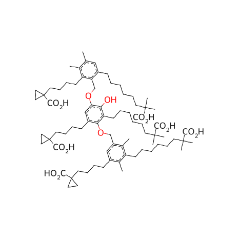 Cc1cc(CCCCCCC(C)(C)C(=O)O)c(COc2cc(CCCCC3(C(=O)O)CC3)c(OCc3cc(CCCCC4(C(=O)O)CC4)c(C)c(CCCCCCC(C)(C)C(=O)O)c3C)c(CCCCCCC(C)(C)C(=O)O)c2O)c(CCCCC2(C(=O)O)CC2)c1C